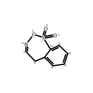 O=S1(=O)ON=CCc2ccccc21